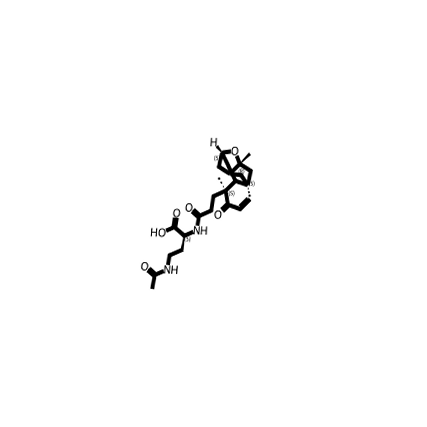 CC(=O)NCC[C@H](NC(=O)CC[C@]1(C)C(=O)C=C[C@]23CC4C[C@H](O[C@]4(C)C2)C31)C(=O)O